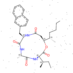 CCCC[C@H](C)[C@@H]1CC(=O)N[C@H](Cc2ccc3ccccc3c2)C(=O)N[C@@H](C)C(=O)N[C@H]([C@H](C)CC)C(=O)O1